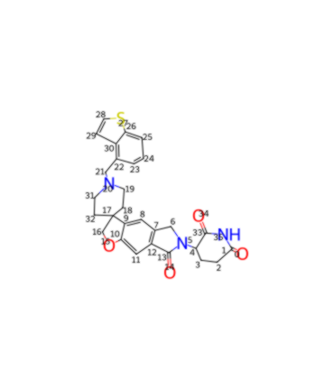 O=C1CCC(N2Cc3cc4c(cc3C2=O)OCC42CCN(Cc3cccc4sccc34)CC2)C(=O)N1